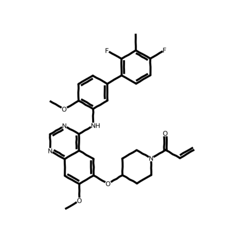 C=CC(=O)N1CCC(Oc2cc3c(Nc4cc(-c5ccc(F)c(C)c5F)ccc4OC)ncnc3cc2OC)CC1